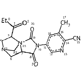 CCC(=O)C1CN2CC3C(=O)N(c4cnc(C#N)c(C)c4)C(=O)[N+]13C2